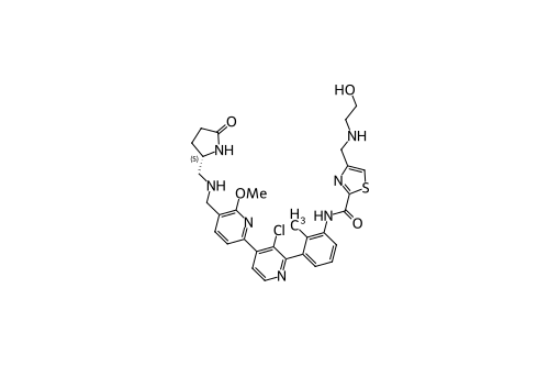 COc1nc(-c2ccnc(-c3cccc(NC(=O)c4nc(CNCCO)cs4)c3C)c2Cl)ccc1CNC[C@@H]1CCC(=O)N1